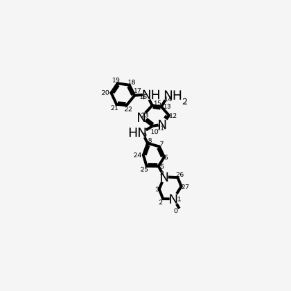 CN1CCN(c2ccc(Nc3ncc(N)c(Nc4ccccc4)n3)cc2)CC1